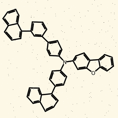 c1cc(-c2ccc(N(c3ccc(-c4cccc5ccccc45)cc3)c3ccc4c(c3)oc3ccccc34)cc2)cc(-c2cccc3ccccc23)c1